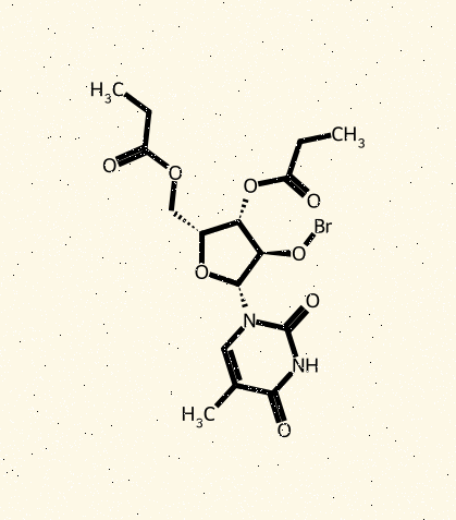 CCC(=O)OC[C@H]1O[C@@H](n2cc(C)c(=O)[nH]c2=O)[C@H](OBr)[C@H]1OC(=O)CC